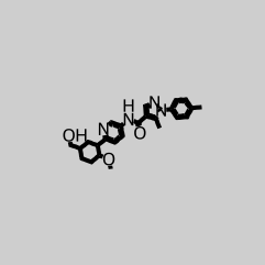 COC1CCC(CO)CC1c1ccc(NC(=O)c2cnn(-c3ccc(C)cc3)c2C)cn1